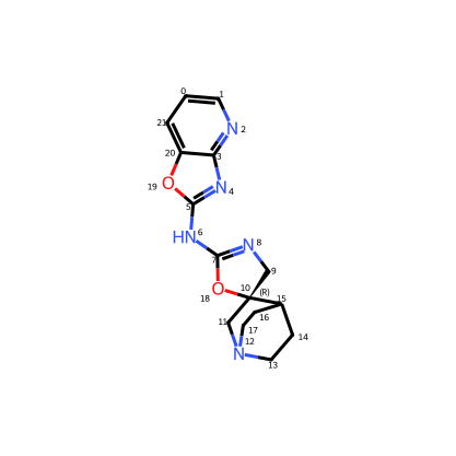 c1cnc2nc(NC3=NC[C@@]4(CN5CCC4CC5)O3)oc2c1